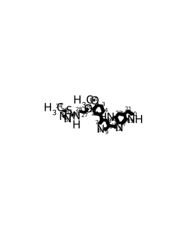 COc1ccc(-c2cncc(C#N)c2Nc2ccc3[nH]ccc3c2)cc1OCCNc1nnc(C)s1